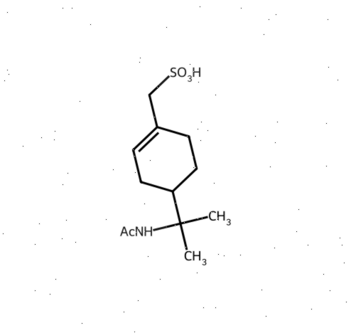 CC(=O)NC(C)(C)C1CC=C(CS(=O)(=O)O)CC1